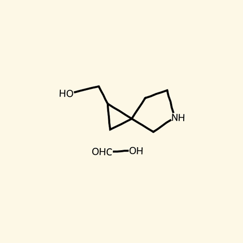 O=CO.OCC1CC12CCNC2